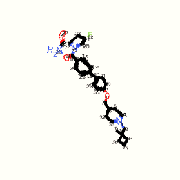 CC1(CN2CCC(COc3ccc(-c4ccc(C(=O)N5C[C@@H](F)C[C@H]5C(N)=O)cc4)cc3)CC2)CCC1